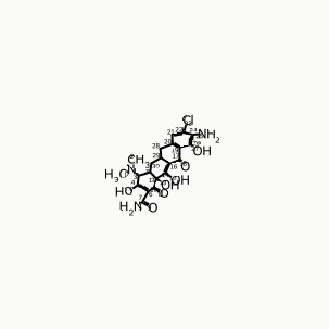 CN(C)C1C(O)=C(C(N)=O)C(=O)C2(O)C(O)=C3C(=O)c4c(cc(Cl)c(N)c4O)CC3CC12